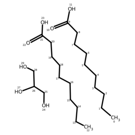 CCCCCCCCCC(=O)O.CCCCCCCCCC(=O)O.OCC(O)CO